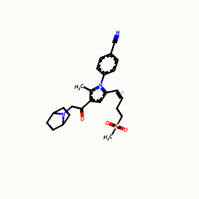 Cc1c(C(=O)CN2C3CCC2CC3)cc(/C=C\CCS(C)(=O)=O)n1-c1ccc(C#N)cc1